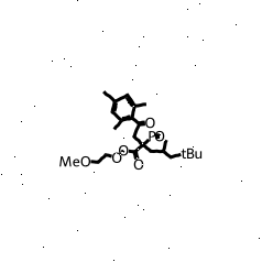 COCCOOC(=O)C(CC(=O)c1c(C)cc(C)cc1C)(CC(C)CC(C)(C)C)P=O